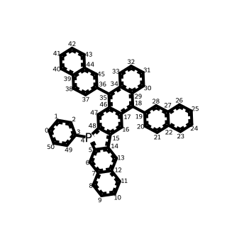 c1ccc(-p2c3cc4ccccc4cc3c3cc4c(-c5ccc6ccccc6c5)c5ccccc5c(-c5ccc6ccccc6c5)c4cc32)cc1